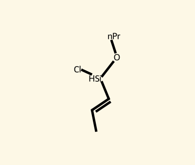 CC=C[SiH](Cl)OCCC